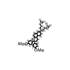 COc1ccc(C2(c3ccc(OC)cc3)C=Cc3c(ccc4cc(N(CCCN(C)C)CCCN(C)C)ccc34)O2)cc1